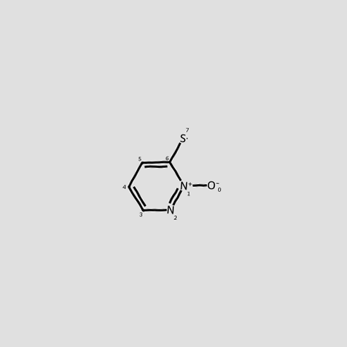 [O-][n+]1ncccc1[S]